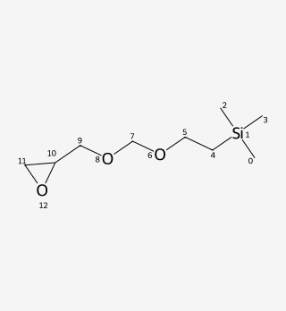 C[Si](C)(C)CCOCOCC1CO1